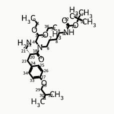 CCOC(CN(CCCCNC(=O)OC(C)(C)C)C(=O)[C@@H](CN)Cc1ccc(OCC(C)C)cc1)OCC